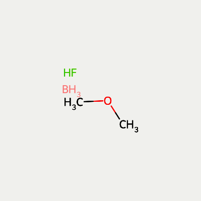 B.COC.F